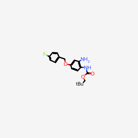 CC(C)(C)COC(=O)Nc1ccc(OCc2ccc(F)cc2)cc1N